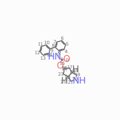 O=C(Nc1ccccc1-c1ccccc1)O[C@H]1C[C@H]2CNC[C@H]2C1